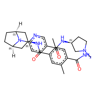 Cc1cc(C(=O)N[C@H]2C[C@H]3CC[C@@H](C2)N3c2ccc(C(=O)N[C@H]3CCN(C)C3)cn2)c(C)cc1C(N)=O